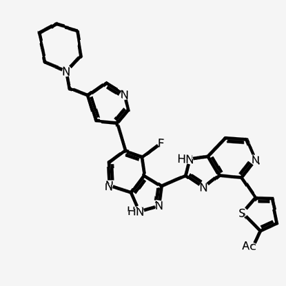 CC(=O)c1ccc(-c2nccc3[nH]c(-c4n[nH]c5ncc(-c6cncc(CN7CCCCC7)c6)c(F)c45)nc23)s1